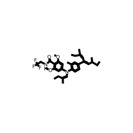 CC/C(C)=C\C(=C/C(C)CC)c1ccc(N(/C=C(/C)CC)c2cc(OC)c(C(=O)NCC(F)(F)F)c(OC)c2)c(C)c1